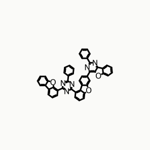 c1ccc(-c2nc(-c3cccc4c3oc3ccccc34)nc(-c3cccc4oc5cc(-c6nc(-c7ccccc7)nc7c6oc6ccccc67)ccc5c34)n2)cc1